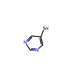 [Sn][c]1cncnc1